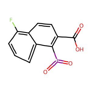 O=C(O)c1ccc2c(F)cccc2c1I(=O)=O